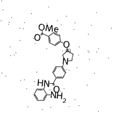 COC(=O)c1ccc(O[C@H]2CCN(c3ccc(C(=O)Nc4ccccc4N)cc3)C2)cc1